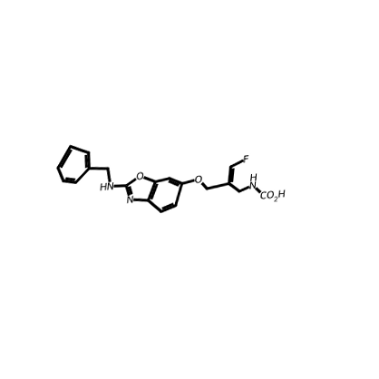 O=C(O)NCC(=CF)COc1ccc2nc(NCc3ccccc3)oc2c1